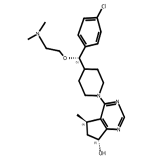 C[C@@H]1C[C@@H](O)c2ncnc(N3CCC([C@H](OCCN(C)C)c4ccc(Cl)cc4)CC3)c21